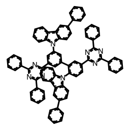 c1ccc(-c2ccc3c(c2)c2ccccc2n3-c2cc(-c3nc(-c4ccccc4)nc(-c4ccccc4)n3)cc(-c3cc(-c4nc(-c5ccccc5)nc(-c5ccccc5)n4)ccc3-n3c4ccccc4c4cc(-c5ccccc5)ccc43)c2)cc1